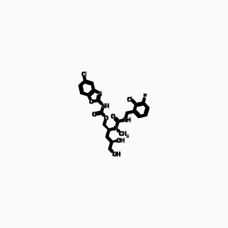 CN(C(=O)NCc1cccc(F)c1Cl)[C@H](COC(=O)Nc1nc2cc(Cl)ccc2o1)C[C@@H](O)CO